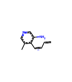 C=C/C=C\c1c(C)cncc1N